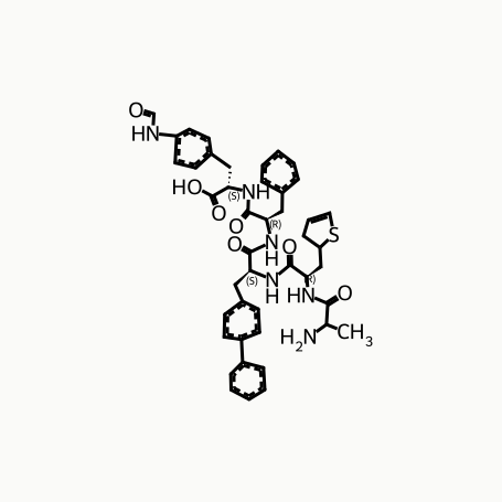 CC(N)C(=O)N[C@H](CC1CC=CS1)C(=O)N[C@@H](Cc1ccc(-c2ccccc2)cc1)C(=O)N[C@H](Cc1ccccc1)C(=O)N[C@@H](Cc1ccc(NC=O)cc1)C(=O)O